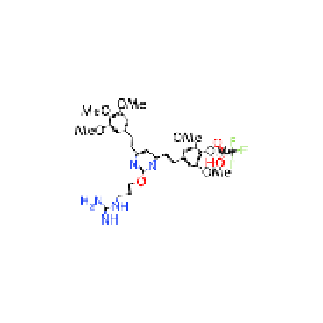 COc1cc(C=Cc2cc(C=Cc3cc(OC)c(OC)c(OC)c3)nc(OCCCNC(=N)N)n2)cc(OC)c1OC.O=C(O)C(F)(F)F